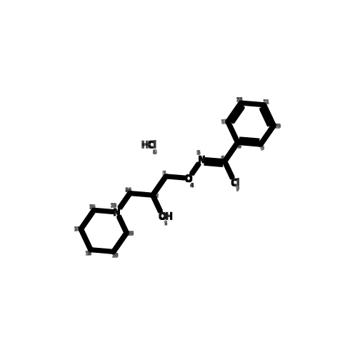 Cl.OC(CON=C(Cl)c1ccccc1)CN1CCCCC1